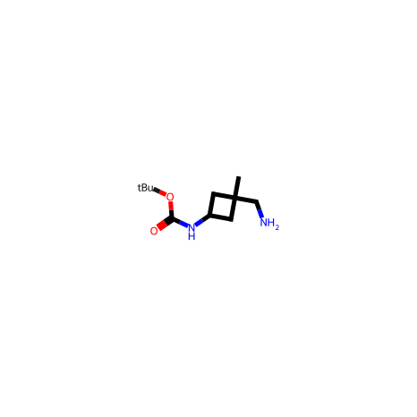 CC1(CN)CC(NC(=O)OC(C)(C)C)C1